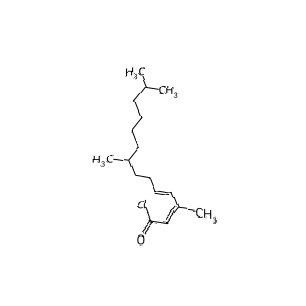 CC(C=CCCC(C)CCCCC(C)C)=CC(=O)Cl